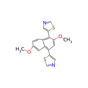 COc1ccc2c(-c3cncs3)c(OC)cc(-c3cncs3)c2c1